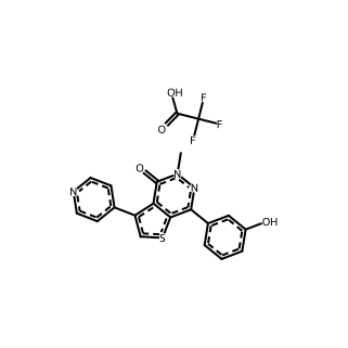 Cn1nc(-c2cccc(O)c2)c2scc(-c3ccncc3)c2c1=O.O=C(O)C(F)(F)F